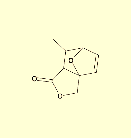 CC1C2C=CC3(COC(=O)C13)O2